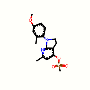 COc1ccc(N2CCc3c(OS(C)(=O)=O)cc(C)nc32)c(C)c1